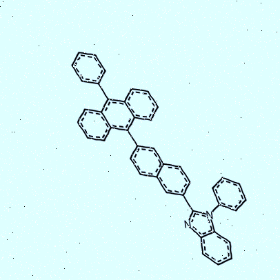 c1ccc(-c2c3ccccc3c(-c3ccc4cc(-c5nc6ccccc6n5-c5ccccc5)ccc4c3)c3ccccc23)cc1